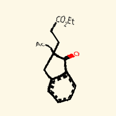 CCOC(=O)CCC1(C(C)=O)Cc2ccccc2C1=O